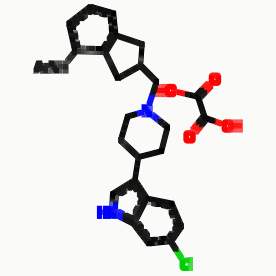 CC(=O)Nc1cccc2c1CC(CN1CCC(c3c[nH]c4cc(Cl)ccc34)CC1)C2.O=C(O)C(=O)O